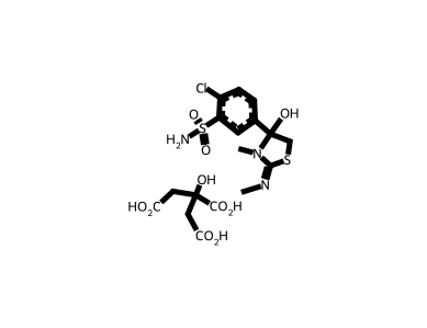 CN=C1SCC(O)(c2ccc(Cl)c(S(N)(=O)=O)c2)N1C.O=C(O)CC(O)(CC(=O)O)C(=O)O